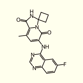 Cc1cc(Nc2ncnc3ccc(F)cc23)c(=O)n2c1C(=O)NC21CCC1